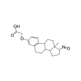 CC12CCC3c4ccc(OCC(=O)O)cc4CCC3C1CCC2N=O